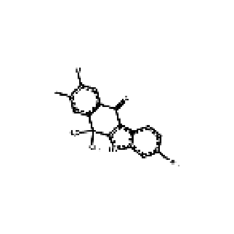 CCc1cc2c(cc1I)C(C)(C)c1[nH]c3cc(N)ccc3c1C2=O